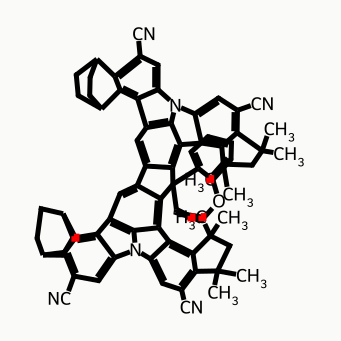 CC1(C)CC(C)(C)c2c1c(C#N)cc1c2c2c3c(cc4c5c6c(c(C#N)cc5n1c42)C1CCC6CC1)-c1cc2c4c5c(c(C#N)cc4n4c6cc(C#N)c7c(c6c(c1C31c3ccccc3Oc3ccccc31)c24)C(C)(C)CC7(C)C)C1CCC5CC1